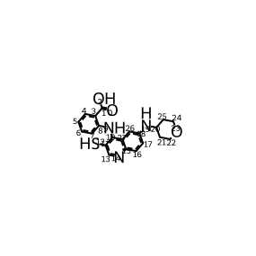 O=C(O)c1ccccc1Nc1c(S)cnc2ccc(NC3CCOCC3)cc12